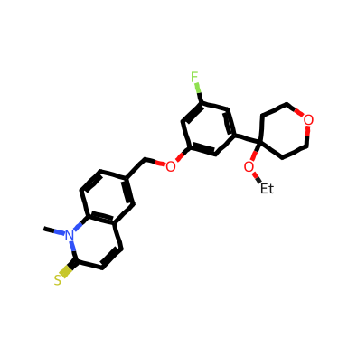 CCOC1(c2cc(F)cc(OCc3ccc4c(ccc(=S)n4C)c3)c2)CCOCC1